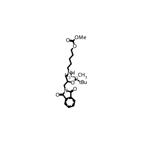 COC(=O)OCCCCCNCC(CN1C(=O)c2ccccc2C1=O)O[Si](C)(C)C(C)(C)C